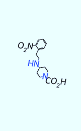 O=C(O)N1CCC(NCCc2ccccc2[N+](=O)[O-])CC1